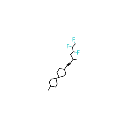 CC(C#CC1CCC(C2CCC(C)CC2)CC1)CC(F)C(F)CF